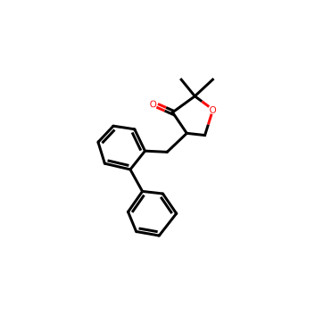 CC1(C)OCC(Cc2ccccc2-c2ccccc2)C1=O